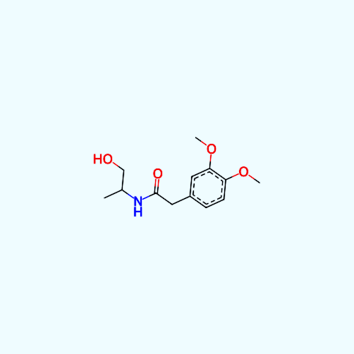 COc1ccc(CC(=O)NC(C)CO)cc1OC